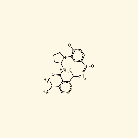 CC(C)c1cccc(C(C)C)c1C(=O)NC1CCCN1c1cc([N+](=O)[O-])cc[n+]1[O-]